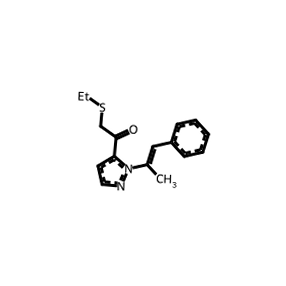 CCSCC(=O)c1ccnn1C(C)=Cc1ccccc1